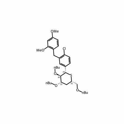 CCCCOC[C@@H]1C[C@H](OCCCC)[C@@H](OCCCC)[C@H](c2ccc(Cl)c(Cc3ccc(OC)cc3OC)c2)S1